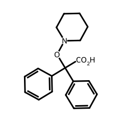 O=C(O)C(ON1CCCCC1)(c1ccccc1)c1ccccc1